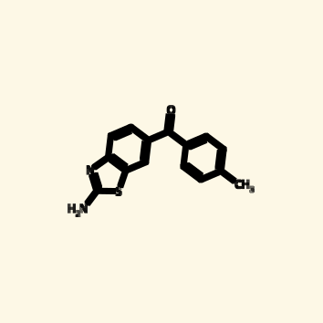 Cc1ccc(C(=O)c2ccc3nc(N)sc3c2)cc1